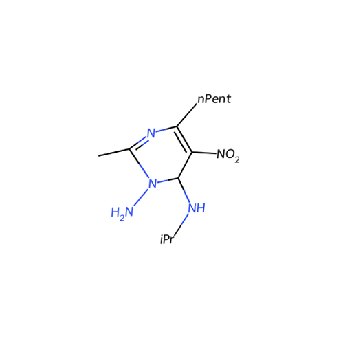 CCCCCC1=C([N+](=O)[O-])C(NC(C)C)N(N)C(C)=N1